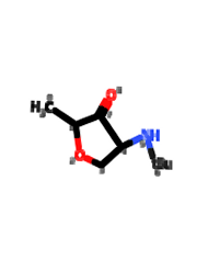 CC1OCC(NC(C)(C)C)C1=O